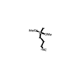 [C-]#[N+]CCC[Si](C)(OC)OC